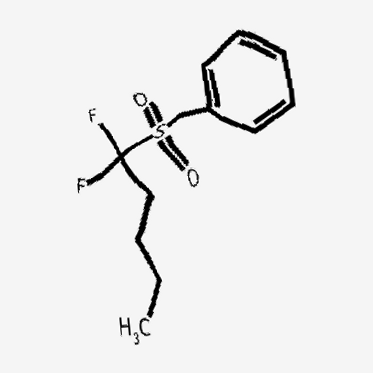 CCCCC(F)(F)S(=O)(=O)c1ccccc1